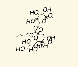 CCCCOC(=O)[C@@]1(OCC2O[C@@H](OC)C(O)C(O)[C@H]2O)CC(O)[C@@H](NC(C)=O)C([C@H](O)C(O)CO)O1